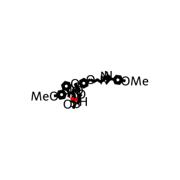 COc1ccc(-c2cn(CCCOc3ccc(S(=O)(=O)N4c5ccccc5[C@@]5(c6ccc(OC)cc6)C[C@@]67SS[C@@H](CN(C)C6=O)C(=O)N7[C@@H]45)cc3)nn2)cc1